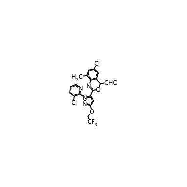 Cc1cc(Cl)cc2c1N=C(c1cc(OCC(F)(F)F)nn1-c1ncccc1Cl)OC2C=O